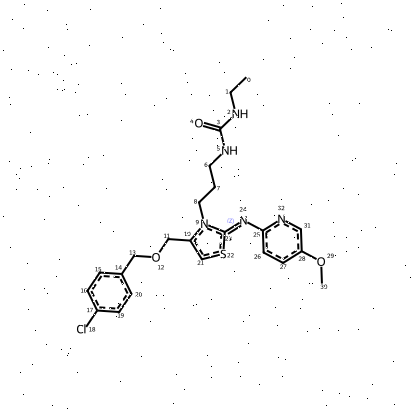 CCNC(=O)NCCCn1c(COCc2ccc(Cl)cc2)cs/c1=N\c1ccc(OC)cn1